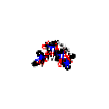 CCCCS(=O)(=O)N[C@@H](CC(C)C)C(=O)N[C@@H](Cc1ccccc1)C(=O)NC.CCS(=O)(=O)N[C@@H](CC(C)C)C(=O)N[C@@H](Cc1ccccc1)C(=O)NC.CNC(=O)[C@H](Cc1ccccc1)NC(=O)[C@H](CC(C)C)NS(=O)(=O)Cc1ccccc1.CNC(=O)[C@H](Cc1ccccc1)NC(=O)[C@H](CC(C)C)NS(=O)(=O)c1ccccc1